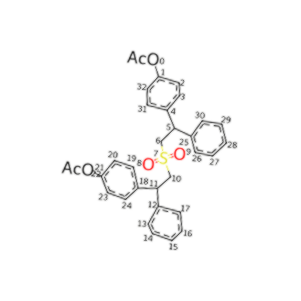 CC(=O)Oc1ccc(C(CS(=O)(=O)CC(c2ccccc2)c2ccc(OC(C)=O)cc2)c2ccccc2)cc1